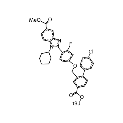 COC(=O)c1ccc2c(c1)nc(-c1ccc(OCc3cc(C(=O)OC(C)(C)C)ccc3-c3ccc(Cl)cc3)cc1F)n2C1CCCCC1